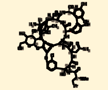 CCC1(N)C[C@H](OC2[C@@H](Oc3c4cc5cc3Oc3ccc(cc3Cl)[C@@H](O)[C@@H](NC(=O)[C@@H](CC(C)C)NC)C(=O)N[C@@H](CC(N)=O)C(=O)N[C@H]5C(=N)N[C@H]3C(=O)N[C@H](C(=O)N[C@H](C(=O)O)c5cc(O)cc(O)c5-c5cc3ccc5O)[C@H](O)c3ccc(c(Cl)c3)O4)OC(CO)C(O)[C@@H]2O)OC(C)[C@H]1O